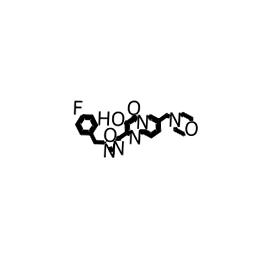 O=c1c(O)c(-c2nnc(Cc3ccc(F)cc3)o2)nc2ccc(CN3CCOCC3)cn12